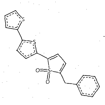 O=S1(=O)C(Cc2ccccc2)=CC=C1c1ccc(-c2cccs2)s1